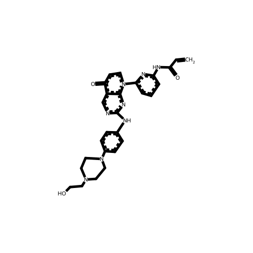 C=CC(=O)Nc1cccc(-n2ccc(=O)c3cnc(Nc4ccc(N5CCN(CCO)CC5)cc4)nc32)n1